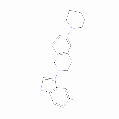 Fc1ccc2[nH]cc(N3CCc4cc(N5CCCCC5)ccc4C3)c2c1